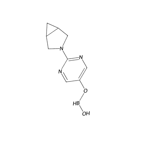 OBOc1cnc(N2CC3CC3C2)nc1